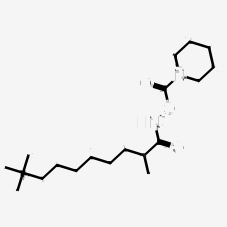 CC(CCCCCCC(C)(C)C)C(=O)NOC(=O)N1CCCCC1